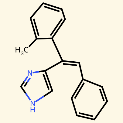 Cc1ccccc1C(=Cc1ccccc1)c1c[nH]cn1